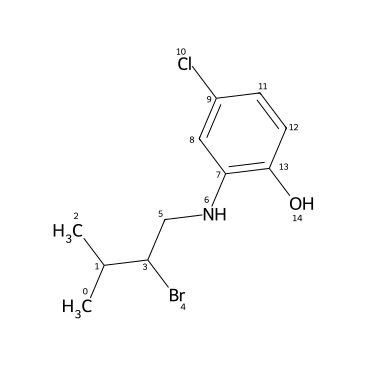 CC(C)C(Br)CNc1cc(Cl)ccc1O